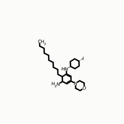 CCCCCCCCCCC1C(N[C@H]2CC[C@@H](I)CC2)=CC(N2CCOCC2)=CC1N